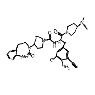 C#Cc1cc(C[C@@H](NC(=O)N2CCC(N3CCc4ccccc4NC3=O)CC2)C(=O)N2CCC(N(C)C)CC2)cc(Cl)c1N